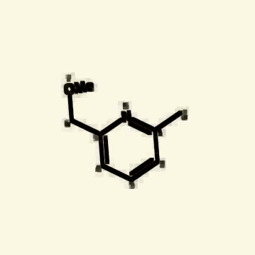 [CH2]c1cccc(COC)n1